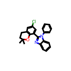 CC1(C)CCc2cc(Cl)cc(-c3nc4ccccc4n3-c3ccccc3)c2O1